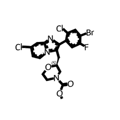 COC(=O)N1CCO[C@@H](Cc2c(-c3cc(F)c(Br)cc3Cl)nc3cc(Cl)ccn23)C1